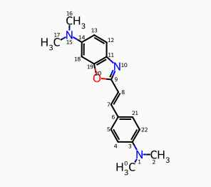 CN(C)c1ccc(C=Cc2nc3ccc(N(C)C)cc3o2)cc1